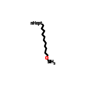 CCCCCCCCCCCCCCCCCCO[SiH3]